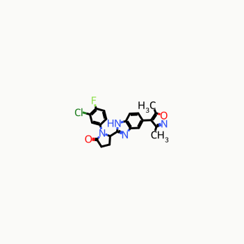 Cc1noc(C)c1-c1ccc2[nH]c(C3CCC(=O)N3c3ccc(F)c(Cl)c3)nc2c1